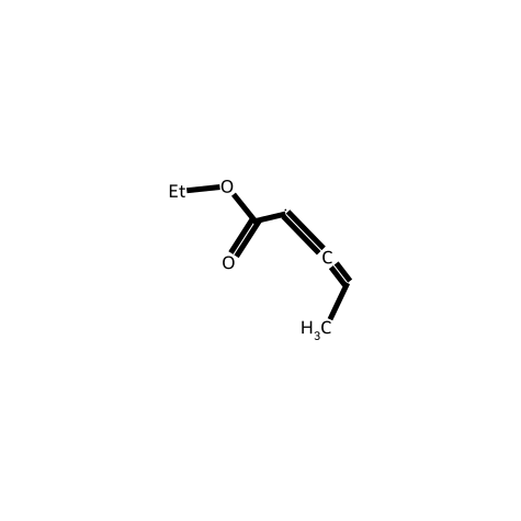 CC=C=[C]C(=O)OCC